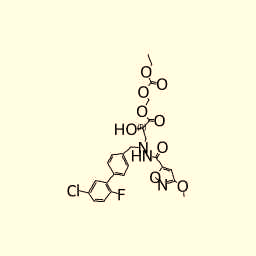 CCOC(=O)OCOC(=O)[C@H](O)CN(Cc1ccc(-c2cc(Cl)ccc2F)cc1)NC(=O)c1cc(OC)no1